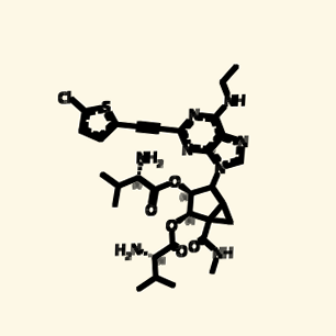 CCNc1nc(C#Cc2ccc(Cl)s2)nc2c1ncn2C1C2CC2(C(=O)NC)[C@@H](OC(=O)[C@@H](N)C(C)C)[C@H]1OC(=O)[C@@H](N)C(C)C